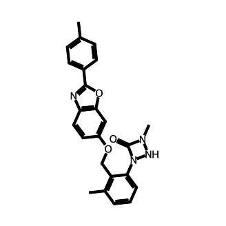 Cc1ccc(-c2nc3ccc(OCc4c(C)cccc4-n4[nH]n(C)c4=O)cc3o2)cc1